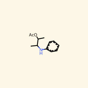 CC(=O)OC(C)C(C)Nc1ccccc1